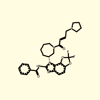 O=C(Nc1nc2ccc3c(c2n1[C@@H]1CCCCN(C(=O)/C=C/CN2CCCC2)C1)OC(F)(F)O3)c1ccccc1